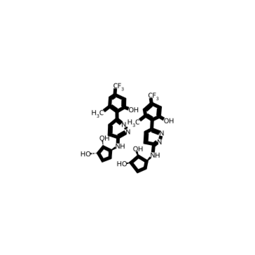 Cc1cc(C(F)(F)F)cc(O)c1-c1ccc(N[C@H]2CC[C@H](O)[C@@H]2O)nn1.Cc1cc(C(F)(F)F)cc(O)c1-c1ccc(N[C@H]2CC[C@H](O)[C@H]2O)nn1